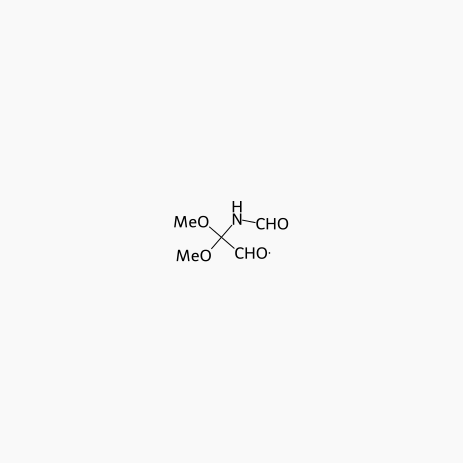 COC([C]=O)(NC=O)OC